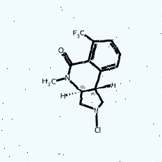 CN1C(=O)c2c(cccc2C(F)(F)F)[C@@H]2CN(Cl)C[C@H]21